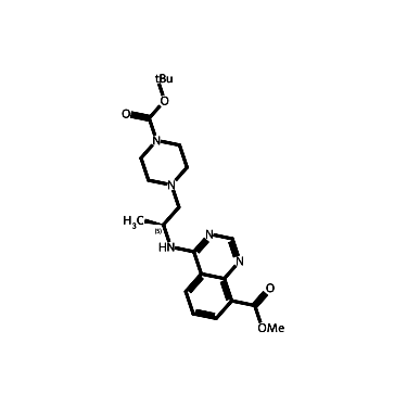 COC(=O)c1cccc2c(N[C@@H](C)CN3CCN(C(=O)OC(C)(C)C)CC3)ncnc12